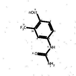 CCCCCCCCc1ccc(NC(N)=O)cc1C(F)(F)F